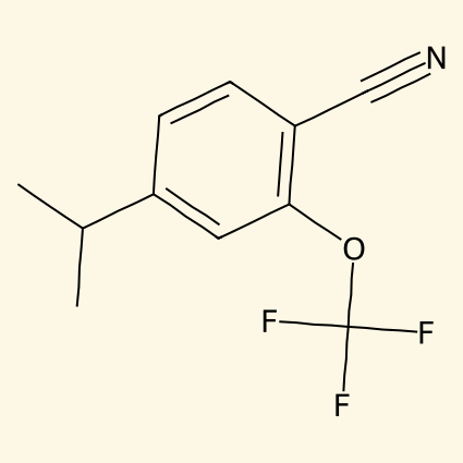 CC(C)c1ccc(C#N)c(OC(F)(F)F)c1